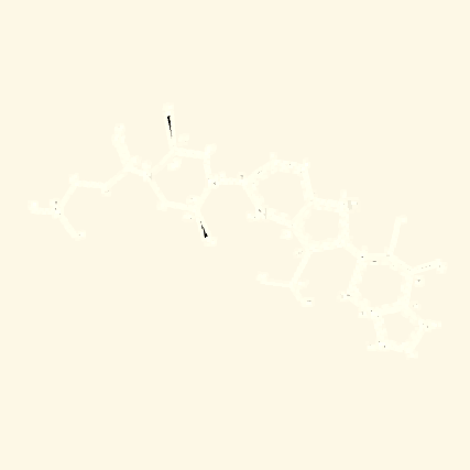 Cc1c(-c2[nH]c3ccc(N4C[C@H](C)N(C(=O)CCN(C)C)C[C@@H]4C)nc3c2C(C)C)cn2ncnc2c1C